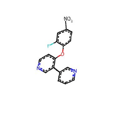 O=[N+]([O-])c1ccc(Oc2ccncc2-c2cccnc2)c(F)c1